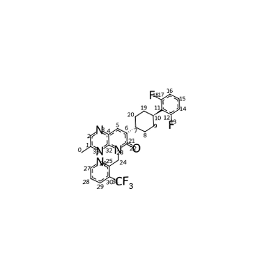 Cc1cnc2cc([C@H]3CC[C@H](c4c(F)cccc4F)CC3)c(=O)n(Cc3ncccc3C(F)(F)F)c2n1